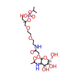 CC[C@H](COCCOCCNC(=O)CO[C@@H]1O[C@H](CO)[C@H](O)[C@H](O)[C@H]1NC(C)=O)OP(=O)(O)OC(C)C